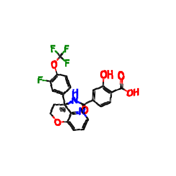 O=C(N[C@]1(c2ccc(OC(F)(F)F)c(F)c2)CCOc2cccnc21)c1ccc(C(=O)O)c(O)c1